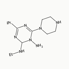 CCNC1N=C(C(C)C)N=C(N2CCNCC2)N1N